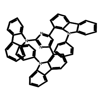 c1ccc(-n2c3ccccc3c3cccc(-c4cc(-c5cccc6c7ccccc7n(-c7ccccc7)c56)nc(-n5c6ccccc6c6ccccc65)n4)c32)cc1